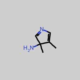 CC1=CN=CC1(C)N